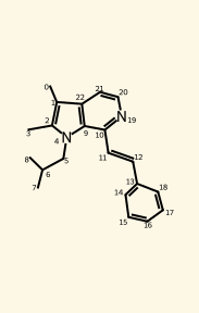 Cc1c(C)n(CC(C)C)c2c(/C=C/c3ccccc3)nccc12